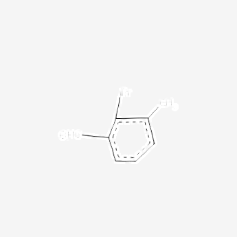 Cc1cccc(C=O)c1C(C)C